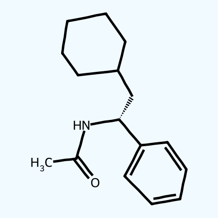 CC(=O)N[C@H](CC1CCCCC1)c1ccccc1